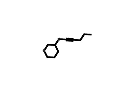 CCCC#COC1CCCOC1